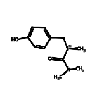 C[C@H](Cc1ccc(O)cc1)C(=O)N(C)C